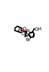 CC(C)(C)OC(=O)N1C2CCCC1CN(c1nc3c(CO)ccc(Br)c3o1)C2